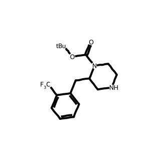 CC(C)(C)OC(=O)N1CCNCC1Cc1ccccc1C(F)(F)F